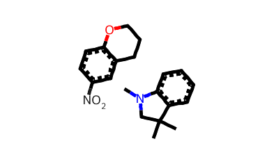 CN1CC(C)(C)c2ccccc21.O=[N+]([O-])c1ccc2c(c1)CCCO2